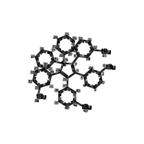 CC(C)(C)c1cccc(C2=C(c3cccc(C(C)(C)C)c3)[Si](c3ccccc3)(c3ccccc3)C(c3cccc(C(C)(C)C)c3)=C2c2cccc(C(C)(C)C)c2)c1